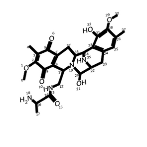 COC1=C(C)C(=O)C2=C(C1=O)C(CNC(=O)C(C)N)N1C(O)C3Cc4cc(C)c(OC)c(O)c4C(N3)C1C2